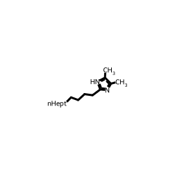 CCCCCCCCCCCc1nc(C)c(C)[nH]1